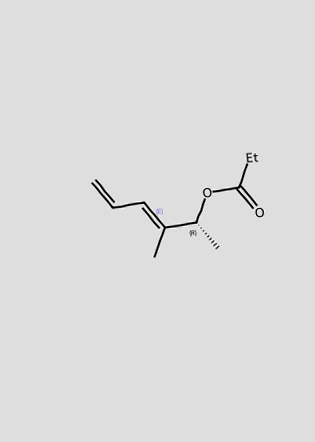 C=C/C=C(\C)[C@@H](C)OC(=O)CC